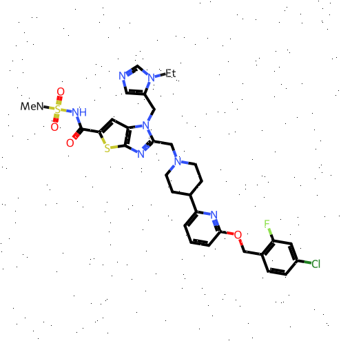 CCn1cncc1Cn1c(CN2CCC(c3cccc(OCc4ccc(Cl)cc4F)n3)CC2)nc2sc(C(=O)NS(=O)(=O)NC)cc21